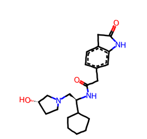 O=C1Cc2ccc(CC(=O)N[C@H](CN3CC[C@H](O)C3)C3CCCCC3)cc2N1